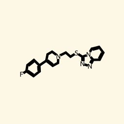 Fc1ccc(C2=CCN(CCSc3nnc4ccccn34)CC2)cc1